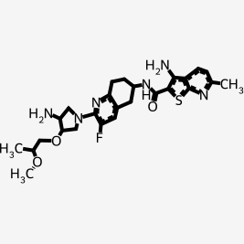 COC(C)COC1CN(c2nc3c(cc2F)CC(NC(=O)c2sc4nc(C)ccc4c2N)CC3)CC1N